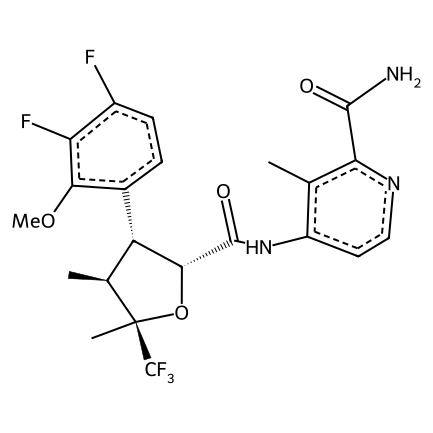 COc1c([C@@H]2[C@H](C(=O)Nc3ccnc(C(N)=O)c3C)O[C@@](C)(C(F)(F)F)[C@H]2C)ccc(F)c1F